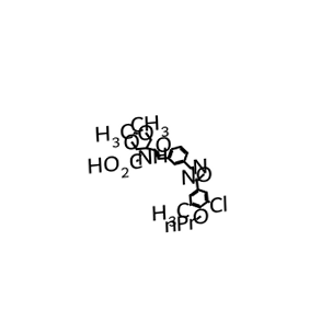 CCCOc1c(C)cc(-c2nc(-c3ccc4oc(C5(NC(=O)O)COC(C)(C)OC5)cc4c3)no2)cc1Cl